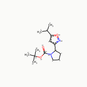 CC(C)c1cc(C2CCCN2C(=O)OC(C)(C)C)no1